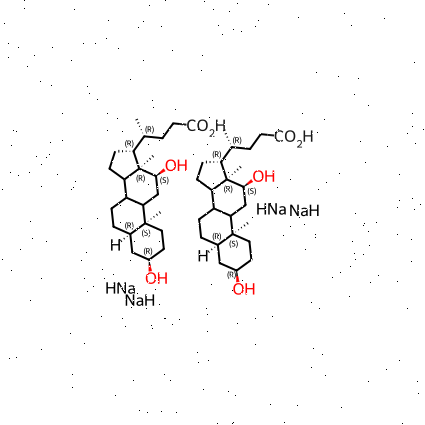 C[C@H](CCC(=O)O)[C@H]1CCC2C3CC[C@@H]4C[C@H](O)CC[C@]4(C)C3C[C@H](O)[C@@]21C.C[C@H](CCC(=O)O)[C@H]1CCC2C3CC[C@@H]4C[C@H](O)CC[C@]4(C)C3C[C@H](O)[C@@]21C.[NaH].[NaH].[NaH].[NaH]